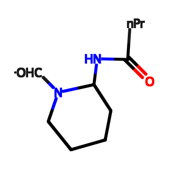 CCCC(=O)NC1CCCCN1[C]=O